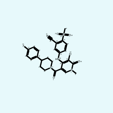 Cn1cc(C(=O)N2CCC(c3ccc(F)cc3)CC2)c(Nc2ccc(S(C)(=O)=O)c(C#N)c2)c(Cl)c1=O